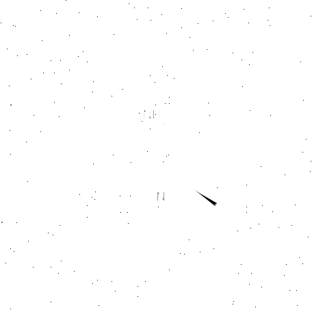 C[C@H](c1ccccc1)N1CCC2CCC(N)C21